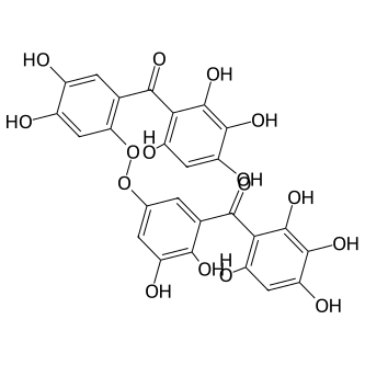 O=C(c1cc(O)c(O)cc1OOc1cc(O)c(O)c(C(=O)c2c(O)cc(O)c(O)c2O)c1)c1c(O)cc(O)c(O)c1O